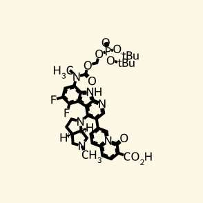 CN1C[C@@H]2CCN(c3c(-c4ccc5ccc(C(=O)O)c(=O)n5c4)cnc4[nH]c5c(N(C)C(=O)OCOP(=O)(OC(C)(C)C)OC(C)(C)C)cc(F)c(F)c5c34)[C@@H]2C1